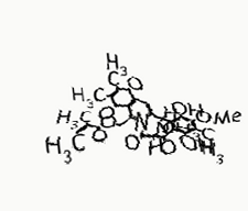 C/C=C(/C)C(=O)OC[C@H]1C2=C(C=C3[C@H]4c5c(O)c(OC)c(C)c(O)c5C(=O)[C@@H](C(=O)N31)N4C)C(=O)C(C)=C(C)C2=O